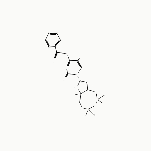 Cc1cn([C@H]2C[C@H]3O[Si](C(C)C)(C(C)C)O[Si](C(C)C)(C(C)C)OC[C@@H]3O2)c(=O)nc1NC(=O)c1ccccc1